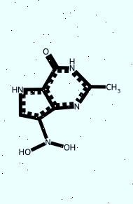 Cc1nc2c(N(O)O)c[nH]c2c(=O)[nH]1